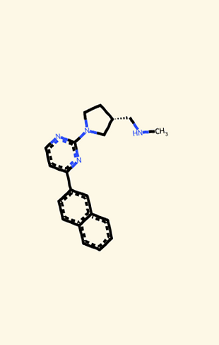 CNC[C@H]1CCN(c2nccc(-c3ccc4ccccc4c3)n2)C1